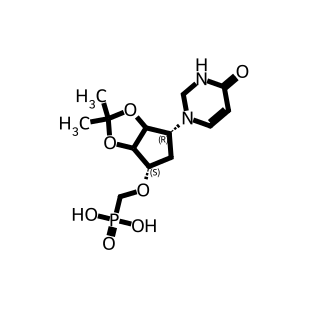 CC1(C)OC2C(O1)[C@H](N1C=CC(=O)NC1)C[C@@H]2OCP(=O)(O)O